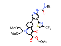 CCNC(=O)Nc1cc(-c2nc(C(F)(F)F)cs2)c(-c2ccc3c(c2)c(=O)c(C(=O)OCOC(C)=O)cn3C(COC)COC)cn1